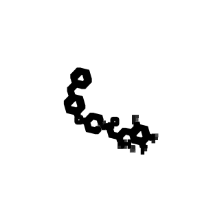 BC(CC(=O)N1CCC(Oc2ccc(Cc3ccccc3)cc2)CC1)Cc1cc(F)c(F)cc1F